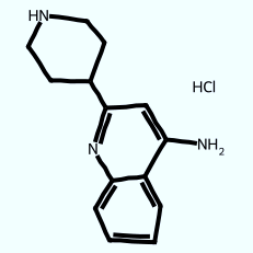 Cl.Nc1cc(C2CCNCC2)nc2ccccc12